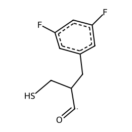 O=[C]C(CS)Cc1cc(F)cc(F)c1